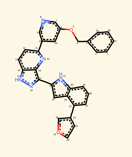 c1ccc(COc2cncc(-c3ccc4[nH]nc(-c5cc6c(-c7ccoc7)cccc6[nH]5)c4n3)c2)cc1